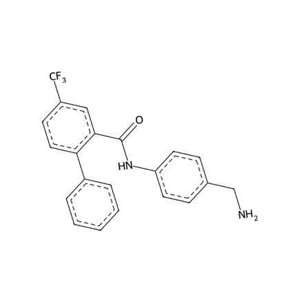 NCc1ccc(NC(=O)c2cc(C(F)(F)F)ccc2-c2ccccc2)cc1